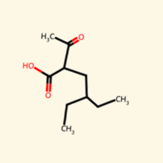 CCC(CC)CC(C(C)=O)C(=O)O